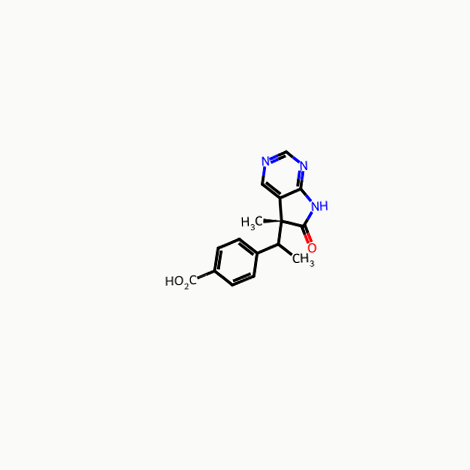 CC(c1ccc(C(=O)O)cc1)[C@@]1(C)C(=O)Nc2ncncc21